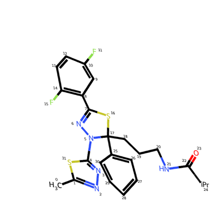 Cc1nnc(N2N=C(c3cc(F)ccc3F)SC2(CCCNC(=O)C(C)C)c2ccccc2)s1